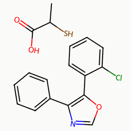 CC(S)C(=O)O.Clc1ccccc1-c1ocnc1-c1ccccc1